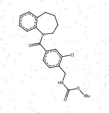 CC(C)(C)OC(=O)NCc1ccc(C(=O)N2CCCCc3ccccc32)cc1Cl